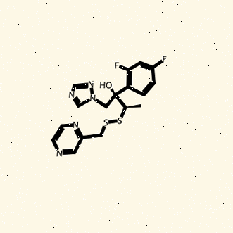 C[C@@H](SSCc1cnccn1)[C@](O)(Cn1cncn1)c1ccc(F)cc1F